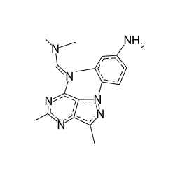 Cc1nc(/N=C/N(C)C)c2c(n1)c(C)nn2-c1ccc(N)cc1C